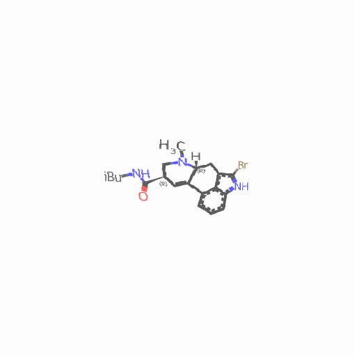 CCC(C)NC(=O)[C@@H]1C=C2c3cccc4[nH]c(Br)c(c34)C[C@H]2N(C)C1